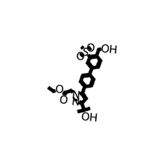 CCOC(=O)Cn1nc(C(C)(C)O)cc1-c1ccc(-c2ccc(CO)c(S(C)(=O)=O)c2)cc1